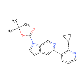 CC(C)(C)OC(=O)n1ccc2cc(-c3cccnc3C3CC3)ncc21